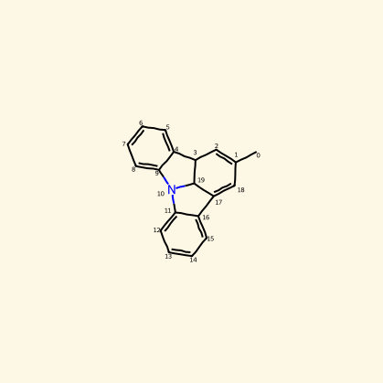 CC1=CC2c3ccccc3N3c4ccccc4C(=C1)C23